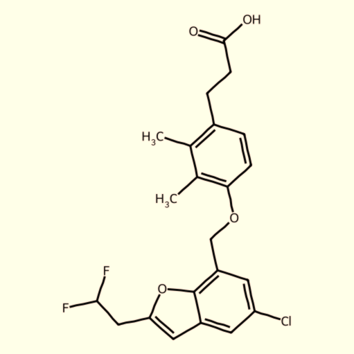 Cc1c(CCC(=O)O)ccc(OCc2cc(Cl)cc3cc(CC(F)F)oc23)c1C